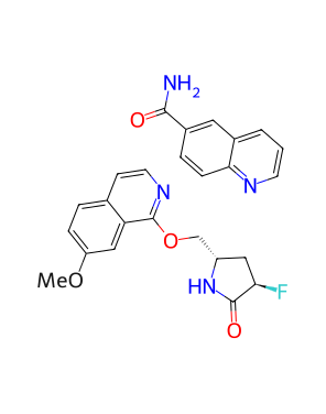 COc1ccc2ccnc(OC[C@@H]3C[C@@H](F)C(=O)N3)c2c1.NC(=O)c1ccc2ncccc2c1